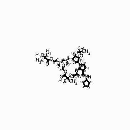 CC1(C)O[C@@H]2[C@H](O1)[C@@H](C[S+]([O-])CP(=O)(OCOC(=O)C(C)(C)C)OCOC(=O)C(C)(C)C)O[C@H]2n1ccc2c(NC3CCCC3)nc(Cl)nc21